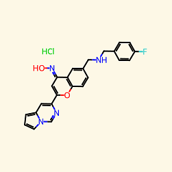 Cl.O/N=c1\cc(-c2cc3cccn3cn2)oc2ccc(CNCc3ccc(F)cc3)cc12